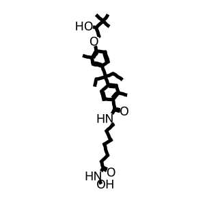 CCC(CC)(c1ccc(OCC(O)C(C)(C)C)c(C)c1)c1ccc(C(=O)NCCCCCCC(=O)NO)c(C)c1